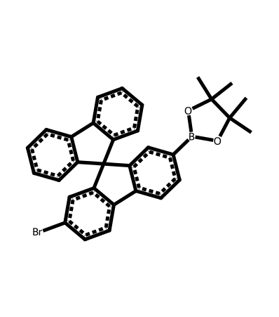 CC1(C)OB(c2ccc3c(c2)C2(c4ccccc4-c4ccccc42)c2cc(Br)ccc2-3)OC1(C)C